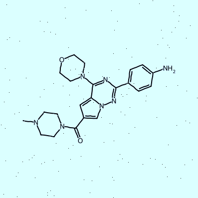 CN1CCN(C(=O)c2cc3c(N4CCOCC4)nc(-c4ccc(N)cc4)nn3c2)CC1